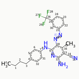 CCCCc1ccc(Nc2nc(N)c(C#N)c(C)c2/N=N/c2cccc(C(F)(F)F)c2)cc1